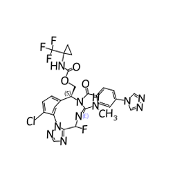 CN/C1=N\C(F)c2ncnn2-c2cc(ccc2Cl)[C@@H](COC(=O)NC2(C(F)(F)F)CC2)N1C(=O)c1ccc(-n2cnnc2)cc1